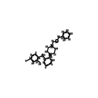 Cc1ccc(Sc2ccccc2N2CCN(COCc3ccccc3)CC2)c(C)c1